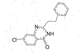 O=c1[nH]c(CCc2ccccc2)nc2cc(Cl)ccc12